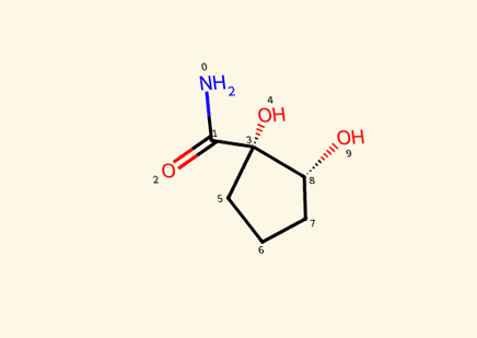 NC(=O)[C@]1(O)CCC[C@H]1O